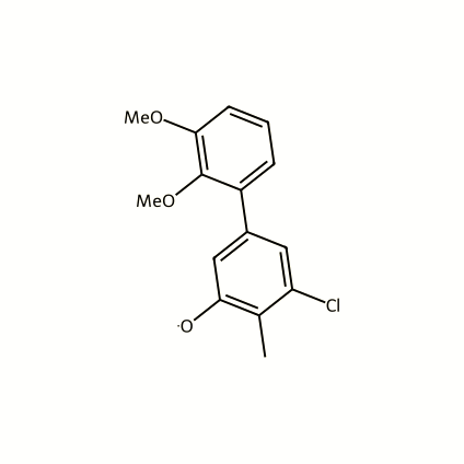 COc1cccc(-c2cc([O])c(C)c(Cl)c2)c1OC